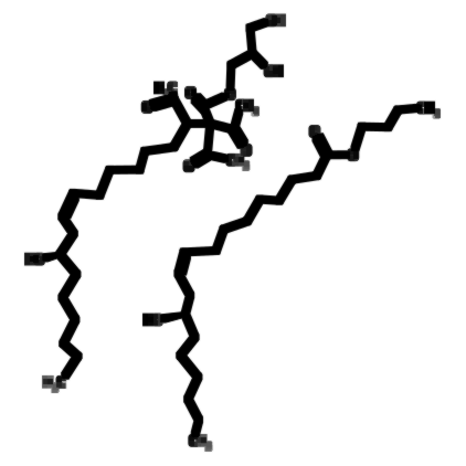 CCCCCC[C@@H](O)C/C=C\CCCCCC(C(C)=O)C(C(C)=O)(C(C)=O)C(=O)OCC(O)CO.CCCCCC[C@@H](O)C/C=C\CCCCCCCC(=O)OCCCC